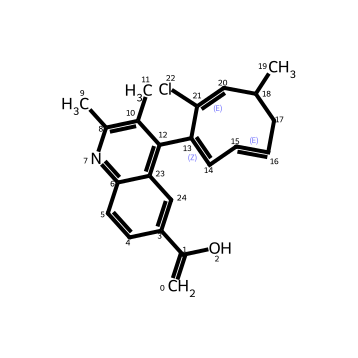 C=C(O)c1ccc2nc(C)c(C)c(C3=C/C=C/CC(C)/C=C\3Cl)c2c1